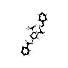 O=C(O[C@H]1C[C@@H](C(=O)O)N(C(=O)OCc2ccccc2)C1)c1ccccc1